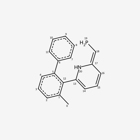 Cc1cccc(-c2ccccc2)c1C1=CC=C/C(=C/P)N1